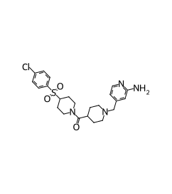 Nc1cc(CN2CCC(C(=O)N3CCC(S(=O)(=O)c4ccc(Cl)cc4)CC3)CC2)ccn1